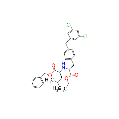 CCOC(=O)[C@H](Cc1ccc(Cc2cc(Cl)cc(Cl)c2)cc1)N[C@@H](CC(C)C)C(=O)OCc1ccccc1